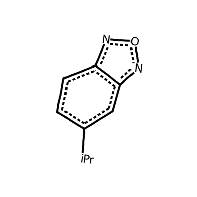 CC(C)c1ccc2nonc2c1